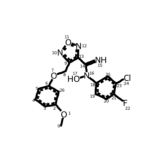 COc1cccc(OCc2nonc2C(=N)N(O)c2ccc(F)c(Cl)c2)c1